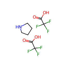 C1CCNC1.O=C(O)C(F)(F)F.O=C(O)C(F)(F)F